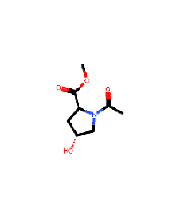 COC(=O)[C@@H]1C[C@@H](O)CN1C(C)=O